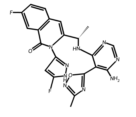 Cc1noc(-c2c(N)ncnc2N[C@@H](C)c2cc3ccc(F)cc3c(=O)n2-c2cc(F)[nH]n2)n1